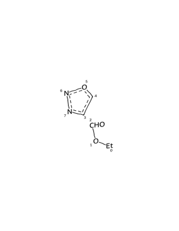 CCOC=O.c1conn1